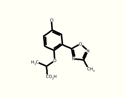 Cc1noc(-c2cc(Cl)ccc2OC(C)C(=O)O)n1